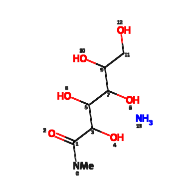 CNC(=O)C(O)C(O)C(O)C(O)CO.N